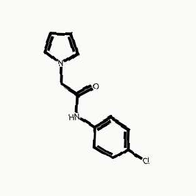 O=C(Cn1cccc1)Nc1ccc(Cl)cc1